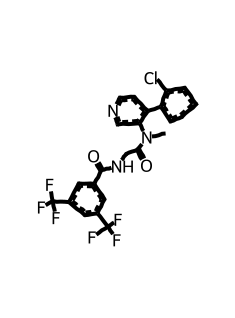 CN(C(=O)CNC(=O)c1cc(C(F)(F)F)cc(C(F)(F)F)c1)c1cnccc1-c1ccccc1Cl